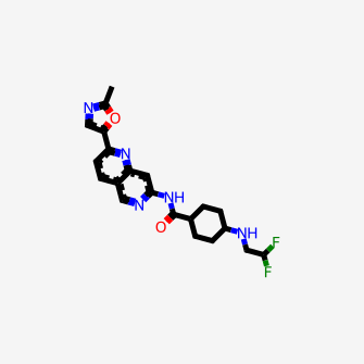 Cc1ncc(-c2ccc3cnc(NC(=O)C4CCC(NCC(F)F)CC4)cc3n2)o1